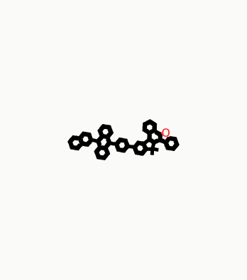 CC1(C)c2ccc(-c3ccc(-c4c5ccccc5c(-c5ccc6ccccc6c5)c5ccccc45)cc3)cc2-c2c1c1c3ccccc3oc1c1ccccc21